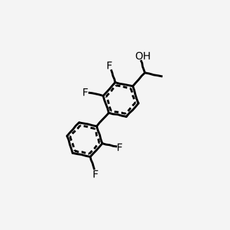 CC(O)c1ccc(-c2cccc(F)c2F)c(F)c1F